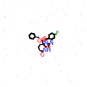 Cc1nc2cc(F)ccc2c(=O)n1C1(C(=O)OCc2ccccc2)CCCC(=O)NC1=O